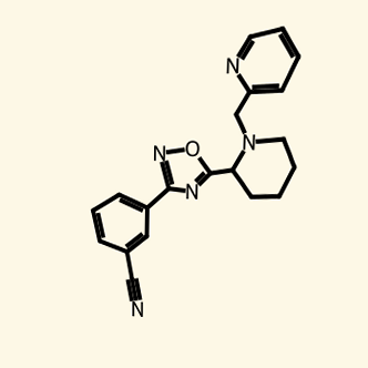 N#Cc1cccc(-c2noc(C3CCCCN3Cc3ccccn3)n2)c1